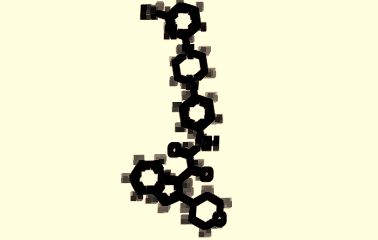 CCc1cccc(N2CCN(c3ccc(NC(=O)C(=O)c4c(C5CCOCC5)cc5ccccn45)cc3)CC2)n1